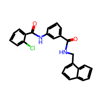 O=C(NCc1cccc2ccccc12)c1cccc(NC(=O)c2ccccc2Cl)c1